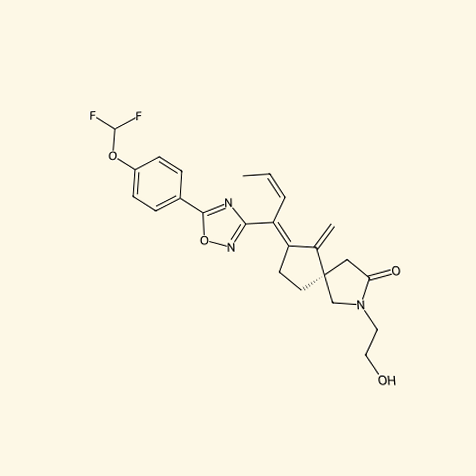 C=C1/C(=C(\C=C/C)c2noc(-c3ccc(OC(F)F)cc3)n2)CC[C@@]12CC(=O)N(CCO)C2